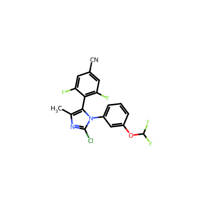 Cc1nc(Cl)n(-c2cccc(OC(F)F)c2)c1-c1c(F)cc(C#N)cc1F